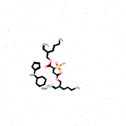 C1=CC[C]([AlH][CH]2CCCCC2)=C1.CCCCC(CC)COC(=O)CC(C(=O)OCC(CC)CCCC)S(=O)(=O)O.[NaH]